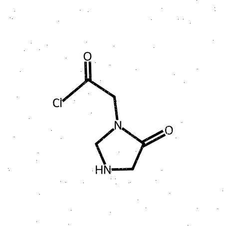 O=C(Cl)CN1CNCC1=O